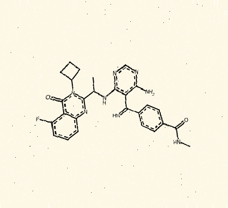 CNC(=O)c1ccc(C(=N)c2c(N)ncnc2NC(C)c2nc3cccc(F)c3c(=O)n2C2CCC2)cc1